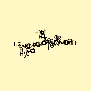 COCCN1CCN(C2CC3(CCN(c4ccc(C(=O)NS(=O)(=O)c5cnc(NCC6CCC(C)(O)CC6)c([N+](=O)[O-])c5)c(Oc5cnc6[nH]cc(F)c6c5)c4)CC3)C2)[C@H](c2ccccc2C(C)C)C1